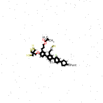 C=C(C)C(=O)OCCCc1cc(-c2cc(CC)c(-c3ccc(C4CCC(CCCCC)CC4)cc3F)cc2CCCS)ccc1OCC(CS)(CS)CS